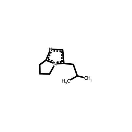 CC(C)Cc1cnc2n1CCC2